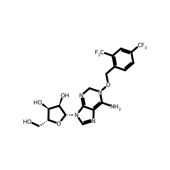 NC1=c2ncn([C@@H]3O[C@H](CO)[C@@H](O)[C@H]3O)c2=NCN1OCc1ccc(C(F)(F)F)cc1C(F)(F)F